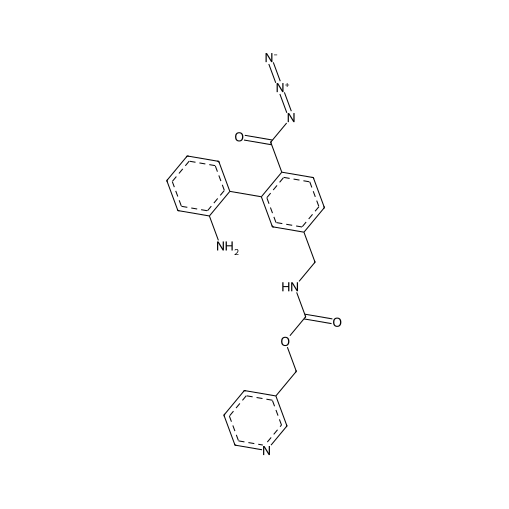 [N-]=[N+]=NC(=O)c1ccc(CNC(=O)OCc2cccnc2)cc1-c1ccccc1N